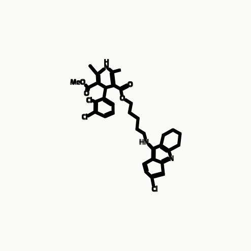 COC(=O)C1=C(C)NC(C)=C(C(=O)OCCCCCNc2c3c(nc4cc(Cl)ccc24)CCCC3)C1c1cccc(Cl)c1Cl